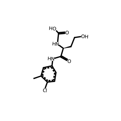 Cc1cc(NC(=O)[C@H](CCO)NC(=O)O)ccc1Cl